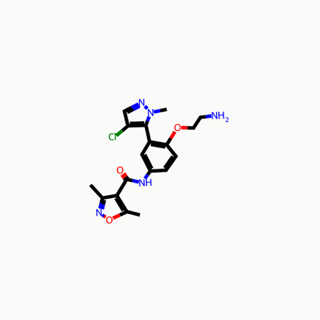 Cc1noc(C)c1C(=O)Nc1ccc(OCCN)c(-c2c(Cl)cnn2C)c1